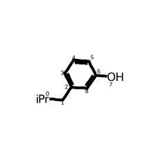 CC(C)Cc1cccc(O)c1